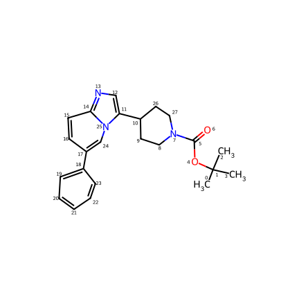 CC(C)(C)OC(=O)N1CCC(c2cnc3ccc(-c4ccccc4)cn23)CC1